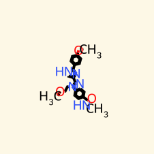 CNC(=O)c1ccc2c(c1)nc(-c1c[nH]c(-c3ccc(OC)cc3)n1)n2CCOC